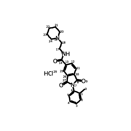 Cc1ccccc1N1C(=O)c2ccc(C(=O)NCCN3CCCCC3)cc2C1=O.Cl